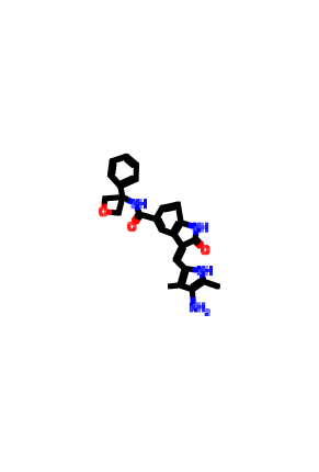 Cc1[nH]c(C=C2C(=O)Nc3ccc(C(=O)NC4(c5ccccc5)COC4)cc32)c(C)c1N